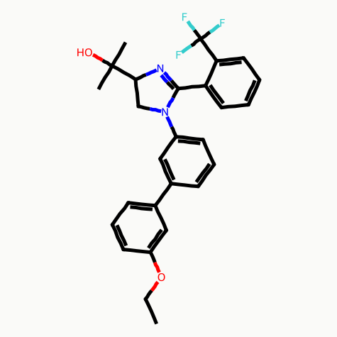 CCOc1cccc(-c2cccc(N3CC(C(C)(C)O)N=C3c3ccccc3C(F)(F)F)c2)c1